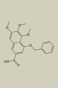 COc1cc2cc(C(=O)O)cc(OCc3ccccc3)c2c(OC)c1OC